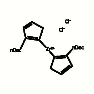 CCCCCCCCCCC1=[C]([Zr+2][C]2=C(CCCCCCCCCC)C=CC2)CC=C1.[Cl-].[Cl-]